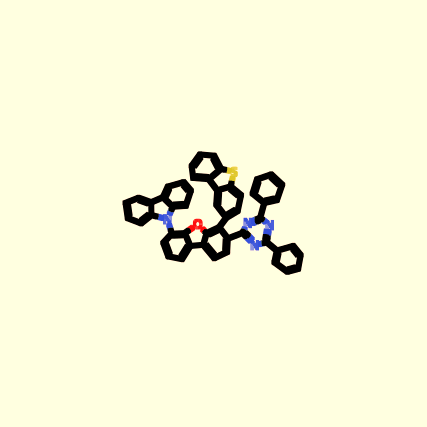 c1ccc(-c2nc(-c3ccccc3)nc(-c3ccc4c(oc5c(-n6c7ccccc7c7ccccc76)cccc54)c3-c3ccc4sc5ccccc5c4c3)n2)cc1